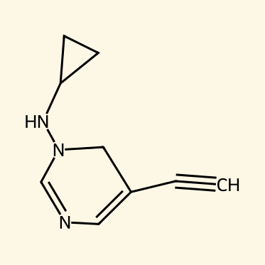 C#CC1=CN=CN(NC2CC2)C1